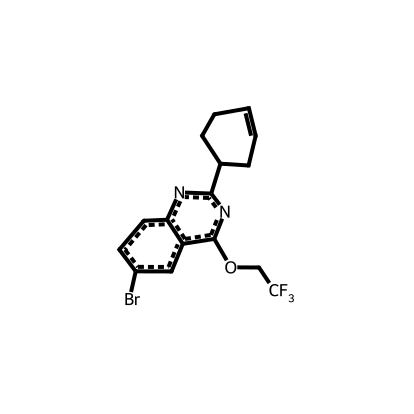 FC(F)(F)COc1nc(C2CC=CCC2)nc2ccc(Br)cc12